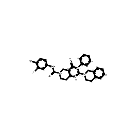 O=C(Nc1ccc(F)c(F)c1)N1CCc2nc(N3CCc4ccccc4C3)n(-c3ccccc3)c(=O)c2C1